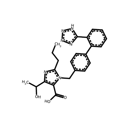 CCCc1nc(C(C)O)c(C(=O)O)n1Cc1ccc(-c2ccccc2-c2nnn[nH]2)cc1